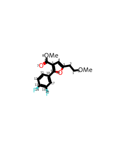 COCCc1cc(C(=O)OC)c(-c2ccc(F)c(F)c2)o1